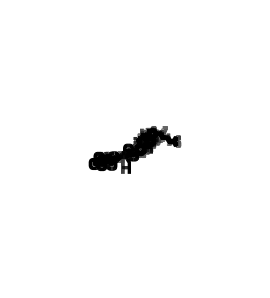 CC(C)CCC[C@@H](C)C1CC[C@H]2[C@@H]3CC=C4CC(OC(=O)NCCOC(=O)C5(C)COC(=O)OC5)CC[C@@H]4[C@H]3CC[C@]12C